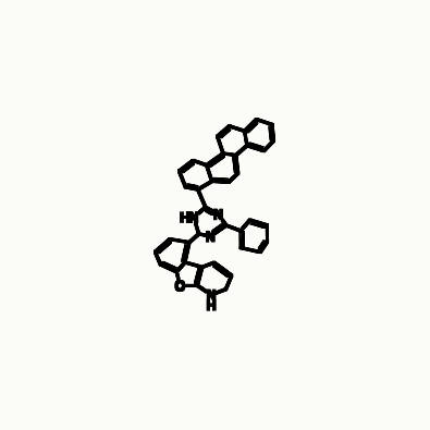 C1=Cc2c(oc3cccc(C4N=C(c5ccccc5)N=C(c5cccc6c5ccc5c7ccccc7ccc65)N4)c23)NC1